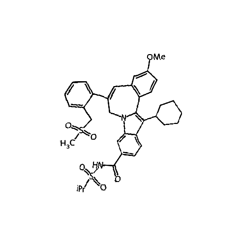 COc1ccc2c(c1)C=C(c1ccccc1CS(C)(=O)=O)Cn1c-2c(C2CCCCC2)c2ccc(C(=O)NS(=O)(=O)C(C)C)cc21